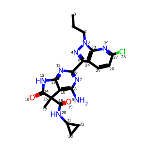 CCCn1nc(-c2nc(N)c3c(n2)NC(=O)C3(C)C(=O)NC2CC2)c2ccc(Cl)nc21